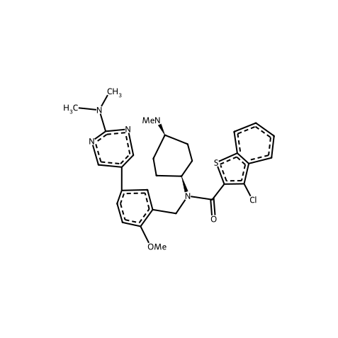 CN[C@H]1CC[C@@H](N(Cc2cc(-c3cnc(N(C)C)nc3)ccc2OC)C(=O)c2sc3ccccc3c2Cl)CC1